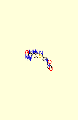 COc1cc(-c2[nH]nc(-c3ncc(C4CCN(C(=O)CN5CCOCC5)CC4)s3)c2C(C)C)cn2ncnc12